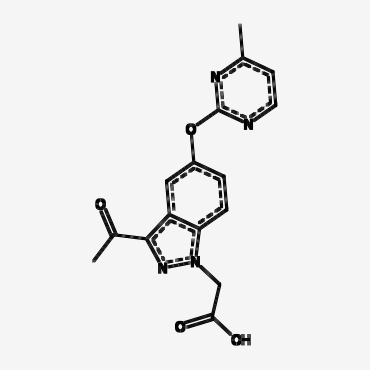 CC(=O)c1nn(CC(=O)O)c2ccc(Oc3nccc(C)n3)cc12